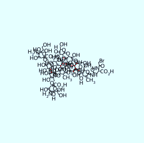 CC1C(O)[C@H](O[C@@H]2OC(CO[C@]3(C(=O)O)C[C@@H](O)[C@@H](N)[C@@](O)(C(O)CO)O3)[C@H](O)C(O)[C@@H]2O)[C@H](CO)O[C@H]1O[C@@H]1C(O)[C@H](O)C(CO)O[C@@H]1OCC1O[C@@H](O[C@@H]2C(CO)O[C@@H](O[C@@H]3C(CO)O[C@@H](NC(=O)CC(NC(=O)CBr)C(=O)O)[C@@H](C)C3O)[C@@H](C)C2O)[C@H](O)C(O[C@H]2OC(CO)[C@@H](O)C(O)C2O[C@@H]2OC(CO)[C@@H](O[C@@H]3OC(CO[C@]4(C(=O)O)C[C@@H](O)[C@@H](N)[C@@](O)(C(O)CO)O4)[C@H](O)C(O)[C@@H]3O)C(O)[C@@H]2C)[C@@H]1O